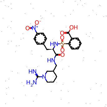 N=C(N)N1CCCC(CNC(=O)[C@@H](Cc2ccc([N+](=O)[O-])cc2)NS(=O)(=O)c2ccccc2C(=O)O)C1